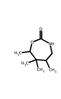 CC1CNC(=O)OC(C)C1(C)C